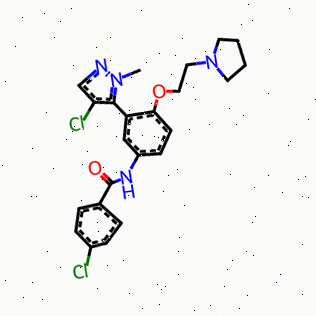 Cn1ncc(Cl)c1-c1cc(NC(=O)c2ccc(Cl)cc2)ccc1OCCN1CCCC1